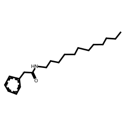 CCCCCCCCCCCCNC(=O)[CH]c1ccccc1